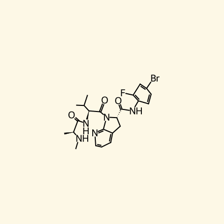 CN[C@@H](C)C(=O)N[C@H](C(=O)N1c2ncccc2C[C@H]1C(=O)Nc1ccc(Br)cc1F)C(C)C